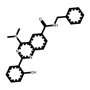 CN(C)c1nc(-c2ccccc2O)nc2ccc(C(=O)NCc3ccccc3)cc12